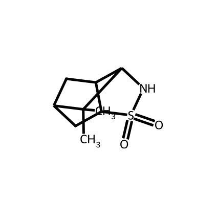 CC1(C)C2CC3C1NS(=O)(=O)C3C2